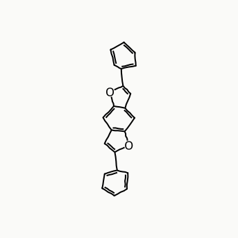 c1ccc(-c2cc3cc4oc(-c5ccccc5)cc4cc3o2)cc1